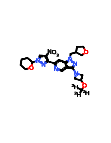 [2H]C([2H])([2H])OC1CN(c2nn(CC3CCOC3)c3cc(-c4nn(C5CCCCO5)cc4[N+](=O)[O-])ncc23)C1